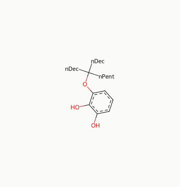 CCCCCCCCCCC(CCCCC)(CCCCCCCCCC)Oc1cccc(O)c1O